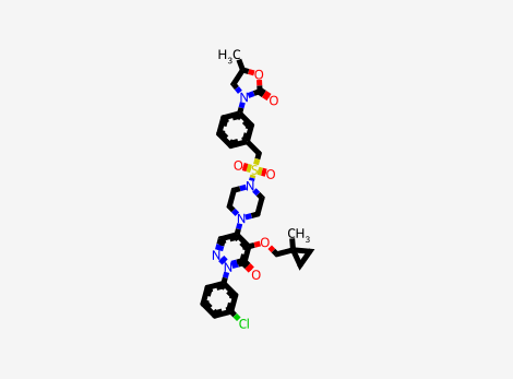 CC1CN(c2cccc(CS(=O)(=O)N3CCN(c4cnn(-c5cccc(Cl)c5)c(=O)c4OCC4(C)CC4)CC3)c2)C(=O)O1